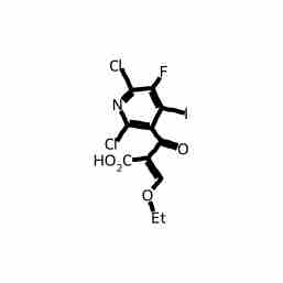 CCO/C=C(\C(=O)O)C(=O)c1c(Cl)nc(Cl)c(F)c1I